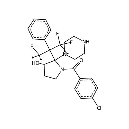 O=C(c1ccc(Cl)cc1)N1CCC(O)C1(N1CCNCC1)C(c1ccccc1)(C(F)(F)F)C(F)(F)F